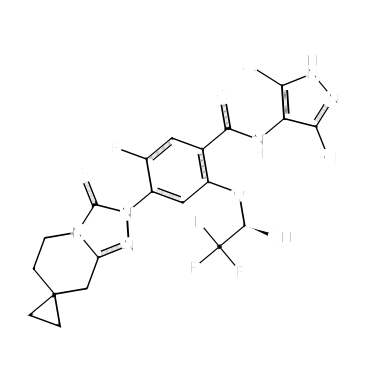 Cc1n[nH]c(Cl)c1NC(=O)c1cc(F)c(-n2nc3n(c2=O)CCC2(CC2)C3)cc1O[C@@H](C)C(F)(F)F